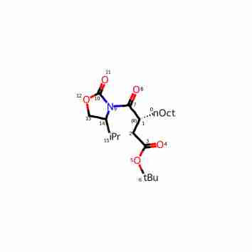 CCCCCCCC[C@H](CC(=O)OC(C)(C)C)C(=O)N1C(=O)OCC1C(C)C